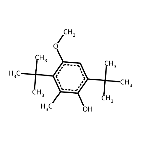 COc1cc(C(C)(C)C)c(O)c(C)c1C(C)(C)C